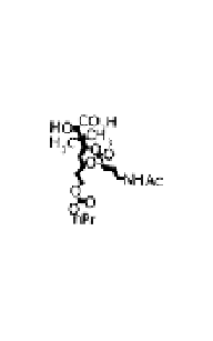 CCCOC(=O)OCCCCC(OS(=O)(=O)CCCNC(C)=O)C(C)(C)[C@@H](O)C(=O)O